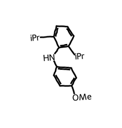 COc1ccc(Nc2c(C(C)C)cccc2C(C)C)cc1